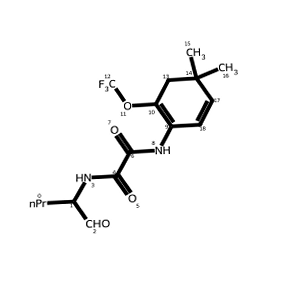 CCCC(C=O)NC(=O)C(=O)NC1=C(OC(F)(F)F)CC(C)(C)C=C1